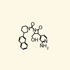 Nc1cc(C2C(=O)N(C(=O)N3CCCC(c4ccc5ccccc5c4)C3)C2CO)ccn1